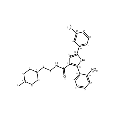 CN1CCN(CCNC(=O)c2nc(-c3cccc(C(F)(F)F)c3)oc2-c2ccccc2[N+](=O)[O-])CC1